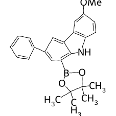 COc1ccc2[nH]c3c(B4OC(C)(C)C(C)(C)O4)cc(-c4ccccc4)cc3c2c1